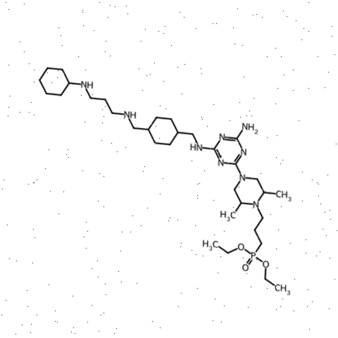 CCOP(=O)(CCCN1C(C)CN(c2nc(N)nc(NCC3CCC(CNCCCNC4CCCCC4)CC3)n2)CC1C)OCC